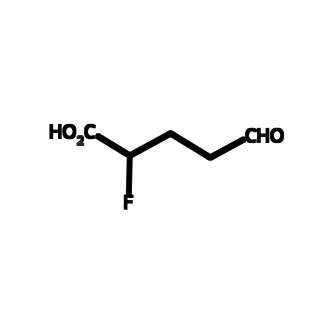 O=CCCC(F)C(=O)O